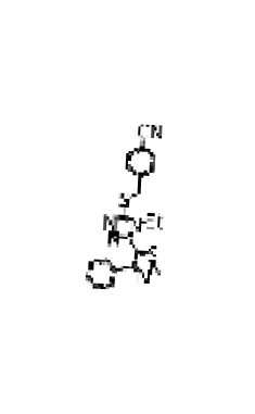 CCn1c(SCc2ccc(C#N)cc2)nnc1-c1snnc1-c1ccccc1